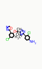 Cn1c(-c2ccc(N)cc2Cl)nnc1C(C)(C)Oc1ccc(Cl)cc1-c1nnco1